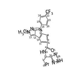 CC(C)CC(NC(=O)c1ccc2c(c1)c1cn(C)nc1n2-c1ccc(C(F)(F)F)cc1)c1nc[nH]n1